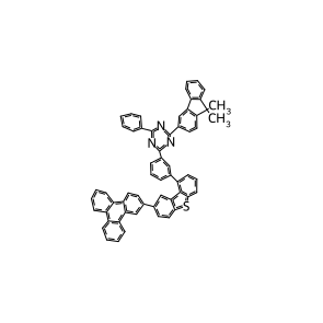 CC1(C)c2ccccc2-c2cc(-c3nc(-c4ccccc4)nc(-c4cccc(-c5cccc6sc7ccc(-c8ccc9c%10ccccc%10c%10ccccc%10c9c8)cc7c56)c4)n3)ccc21